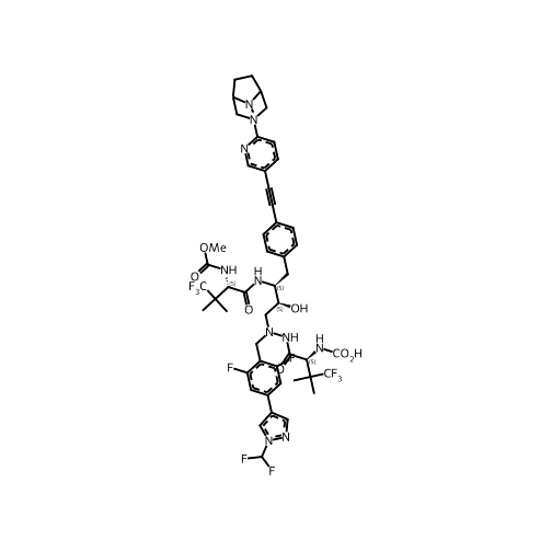 COC(=O)N[C@H](C(=O)N[C@@H](Cc1ccc(C#Cc2ccc(N3CC4CCC(C3)N4C)nc2)cc1)[C@@H](O)CN(Cc1c(F)cc(-c2cnn(C(F)F)c2)cc1F)NC(=O)[C@@H](NC(=O)O)C(C)(C)C(F)(F)F)C(C)(C)C(F)(F)F